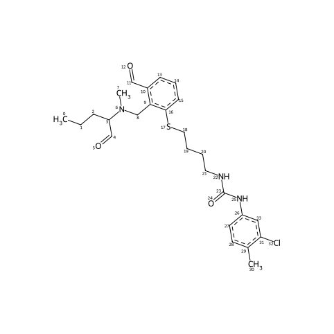 CCCC(C=O)N(C)Cc1c(C=O)cccc1SCCCCNC(=O)Nc1ccc(C)c(Cl)c1